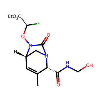 CCOC(=O)[C@H](F)ON1C(=O)N2C[C@@H]1C=C(C)[C@H]2C(=O)NCO